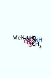 CNCCC(=O)N(C)C1=NC(=O)[C@H]([C@H](C)c2c[nH]c3ccccc23)O1